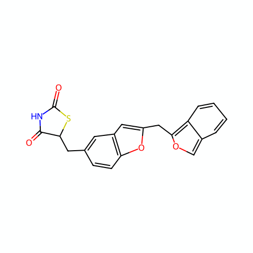 O=C1NC(=O)C(Cc2ccc3oc(Cc4occ5ccccc45)cc3c2)S1